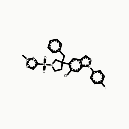 Cn1ncc(S(=O)(=O)N2CCC(Cc3ccccc3)(c3cc4cnn(-c5ccc(F)cc5)c4cc3Cl)C2)n1